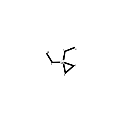 CC[Si]1(CC)CC1